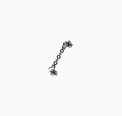 CCCCN(CCC[Si](OCC)(OCC)OCC)c1ccc(C(C)(C)c2ccc(C(C)(C)c3ccc(N(CCC[Si](OCC)(OCC)OCC)CC4CO4)cc3)cc2)cc1